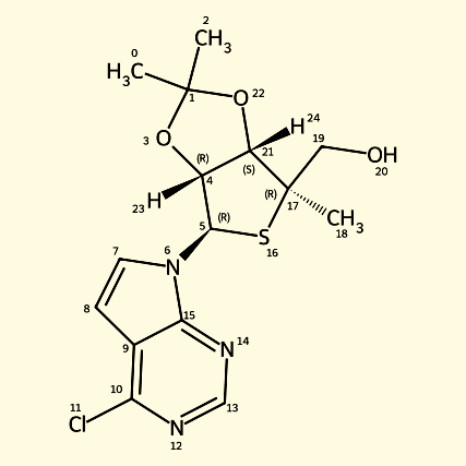 CC1(C)O[C@H]2[C@H](n3ccc4c(Cl)ncnc43)S[C@](C)(CO)[C@H]2O1